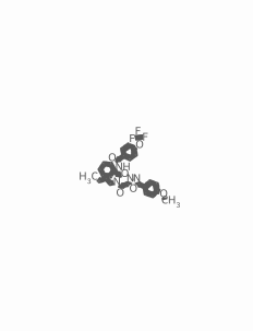 CCCCN(C(=O)c1nnc(-c2ccc(OC)cc2)o1)C(=O)C1(NC(=O)c2ccc(OC(F)(F)F)cc2)CCCCC1